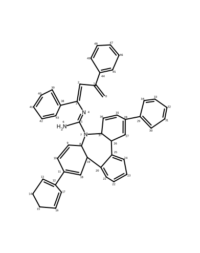 C=C(/C=C(\N=C(/N)N1C2C=CC(C3=CCCC=C3)=CC2c2ccccc2C2C=C(c3ccccc3)C=CC21)c1ccccc1)c1ccccc1